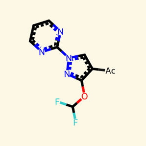 CC(=O)c1cn(-c2ncccn2)nc1OC(F)F